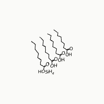 CCCCCCCC(=O)O.CCCCCCCC(=O)O.CCCCCCCC(=O)O.CCCCCCCC(=O)O.[SiH4]